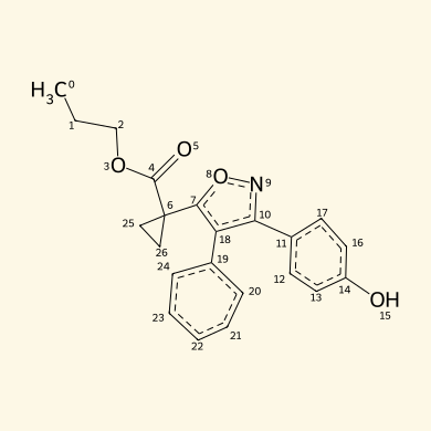 CCCOC(=O)C1(c2onc(-c3ccc(O)cc3)c2-c2ccccc2)CC1